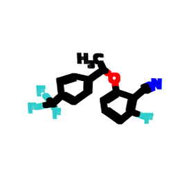 CC(Oc1cccc(F)c1C#N)c1ccc(C(F)(F)F)cc1